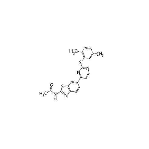 CC(=O)Nc1nc2ccc(-c3ccnc(Sc4cc(C)ccc4C)n3)cc2s1